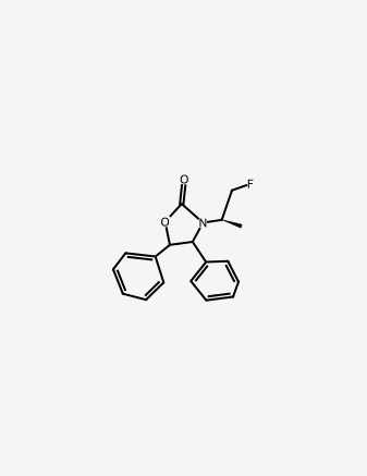 C[C@H](CF)N1C(=O)OC(c2ccccc2)C1c1ccccc1